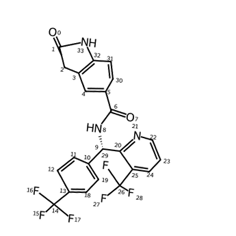 O=C1Cc2cc(C(=O)N[C@@H](c3ccc(C(F)(F)F)cc3)c3ncccc3C(F)(F)F)ccc2N1